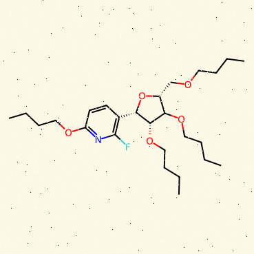 CCCCOC[C@H]1O[C@@H](c2ccc(OCCCC)nc2F)[C@@H](OCCCC)C1OCCCC